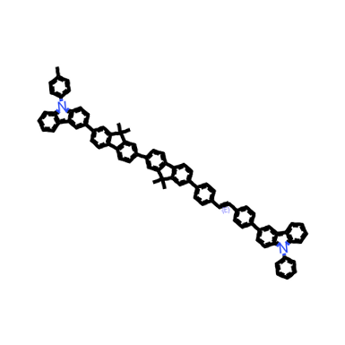 Cc1ccc(-n2c3ccccc3c3cc(-c4ccc5c(c4)C(C)(C)c4cc(-c6ccc7c(c6)C(C)(C)c6cc(-c8ccc(/C=C/c9ccc(-c%10ccc%11c(c%10)c%10ccccc%10n%11-c%10ccccc%10)cc9)cc8)ccc6-7)ccc4-5)ccc32)cc1